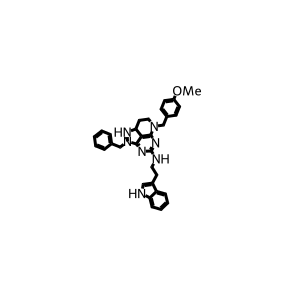 COc1ccc(CN2CCC3NN(Cc4ccccc4)c4nc(NCCc5c[nH]c6ccccc56)nc2c43)cc1